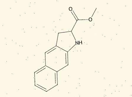 COC(=O)C1Cc2cc3ccccc3cc2N1